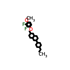 CCCC1CCC(C2CCC3CC(COc4ccc(OC)c(F)c4F)CCC3C2)CC1